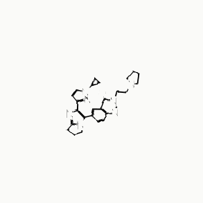 O=c1c2cc(-c3c(-c4ccn(C5CC5)n4)nc4n3CCC4)ccc2ncn1CCN1CCCC1